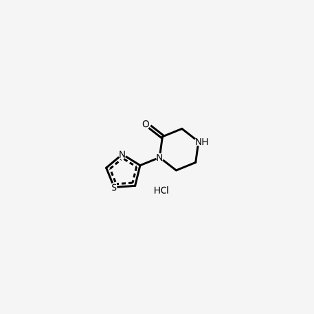 Cl.O=C1CNCCN1c1cscn1